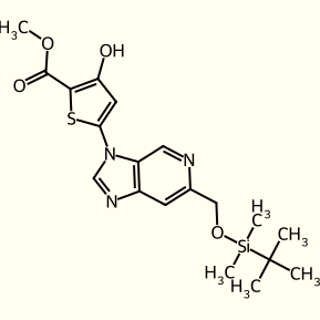 COC(=O)c1sc(-n2cnc3cc(CO[Si](C)(C)C(C)(C)C)ncc32)cc1O